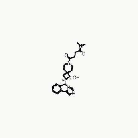 CN(C)C(=O)CCC(=O)N1CCC2(CC1)C[C@@H](C1c3ccccc3-c3cncn31)[C@H]2O